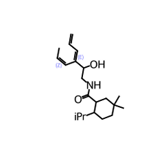 C=C/C=C(\C=C/C)C(O)CNC(=O)C1CC(C)(C)CCC1C(C)C